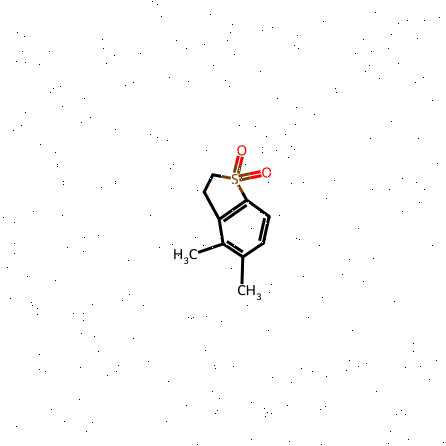 Cc1ccc2c(c1C)CCS2(=O)=O